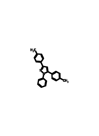 Cc1ccc(-c2cc(-c3ccc(C)cc3)n(-c3ccccc3)n2)cc1